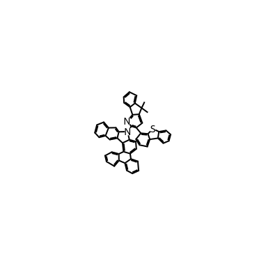 CC1(C)c2ccccc2-c2nc(-n3c4cc5ccccc5cc4c4c5c6ccccc6c6ccccc6c5ccc43)c(-c3cccc4c3sc3ccccc34)cc21